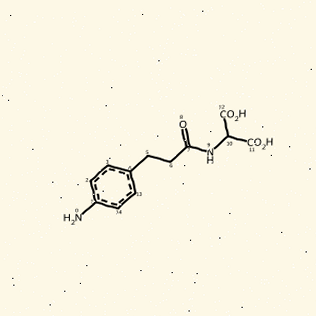 Nc1ccc(CCC(=O)NC(C(=O)O)C(=O)O)cc1